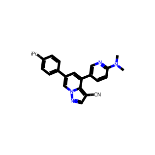 CC(C)c1ccc(-c2cc(-c3ccc(N(C)C)nc3)c3c(C#N)cnn3c2)cc1